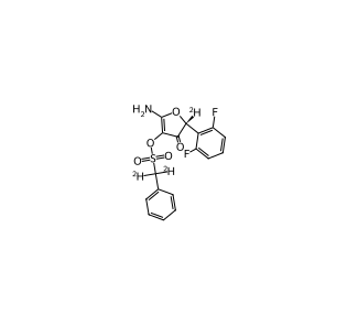 [2H]C([2H])(c1ccccc1)S(=O)(=O)OC1=C(N)O[C@]([2H])(c2c(F)cccc2F)C1=O